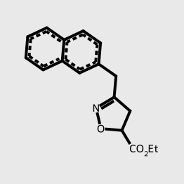 CCOC(=O)C1CC(Cc2ccc3ccccc3c2)=NO1